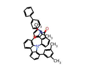 Cc1cc(C)cc(-c2cccc3c4cccc(-c5cc(C)cc(C)c5)c4n(-c4cccc5c4C(=O)N(c4ccc(-c6ccccc6)cc4)C5=O)c23)c1